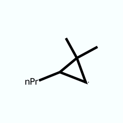 CCCC1[CH]C1(C)C